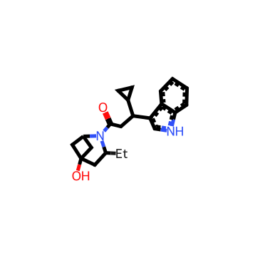 CCC1CC2(O)CC(C2)N1C(=O)CC(c1c[nH]c2ccccc12)C1CC1